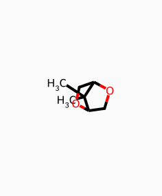 CC1(C)C2COC1CO2